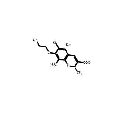 Cc1c(OCCC(C)C)c(Cl)cc2c1O[C@H](C(F)(F)F)C(C(=O)[O-])=C2.[Na+]